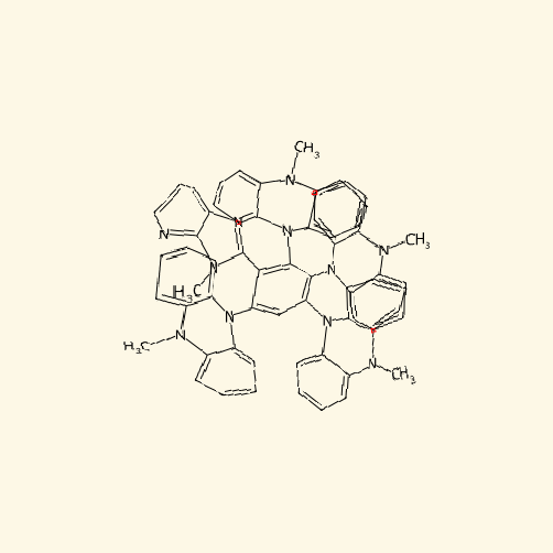 CN1c2ccccc2N(c2cc(N3c4ccccc4N(C)c4ccccc43)c(N3c4ccccc4N(C)c4ccccc43)c(N3c4ccccc4N(C)c4ccccc43)c2-c2nc3cccnc3n2C)c2ccccc21